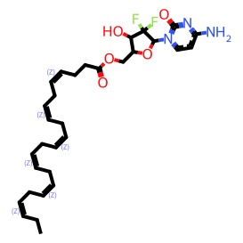 CC/C=C\C/C=C\C/C=C\C/C=C\C/C=C\C/C=C\CCC(=O)OCC1OC(n2ccc(N)nc2=O)C(F)(F)C1O